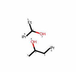 CC(C)CC(C)O.CCC(O)C(C)C